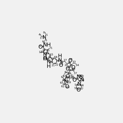 CCN(CC)CCNC(=O)c1c(C)[nH]c(/C=C2\C(=O)Nc3ccc(NC(=O)CCC(=O)C(C)(CC)OC(C)C(=O)C(C)(CC)O[C@H](COc4nsnc4N4CCOCC4)CN(C(C)=O)C(C)(C)C)cc32)c1C